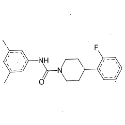 Cc1cc(C)cc(NC(=O)N2CCC(c3ccccc3F)CC2)c1